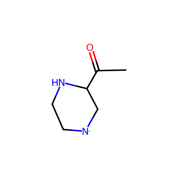 CC(=O)C1C[N]CCN1